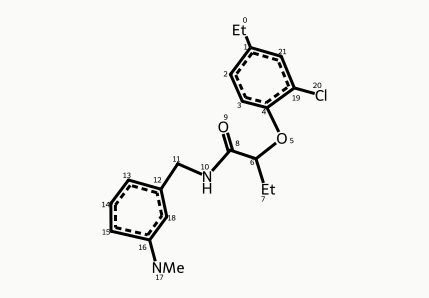 CCc1ccc(OC(CC)C(=O)NCc2cccc(NC)c2)c(Cl)c1